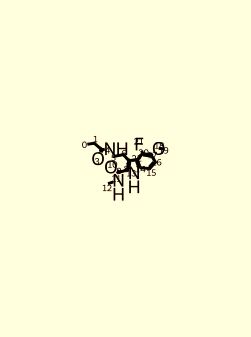 CCC(=O)NCCc1c(C(=O)NC)[nH]c2ccc(OC)c(F)c12